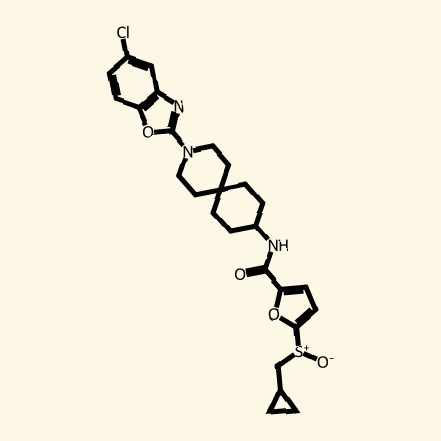 O=C(NC1CCC2(CC1)CCN(c1nc3cc(Cl)ccc3o1)CC2)c1ccc([S+]([O-])CC2CC2)o1